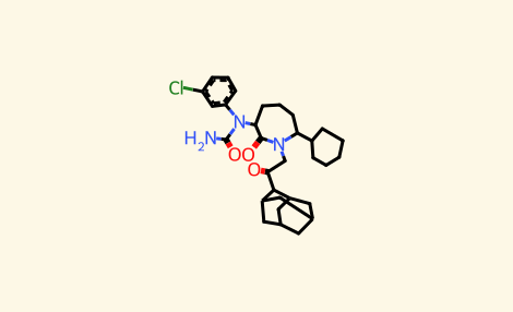 NC(=O)N(c1cccc(Cl)c1)C1CCCC(C2CCCCC2)N(CC(=O)C2C3CC4CC(C3)CC2C4)C1=O